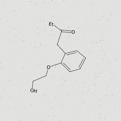 CCC(=O)Cc1ccccc1OCCO